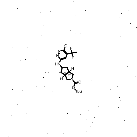 CC(C)(C)OC(=O)N1C[C@H]2CC(Nc3cc(C(C)(F)F)c(Cl)nn3)C[C@H]2C1